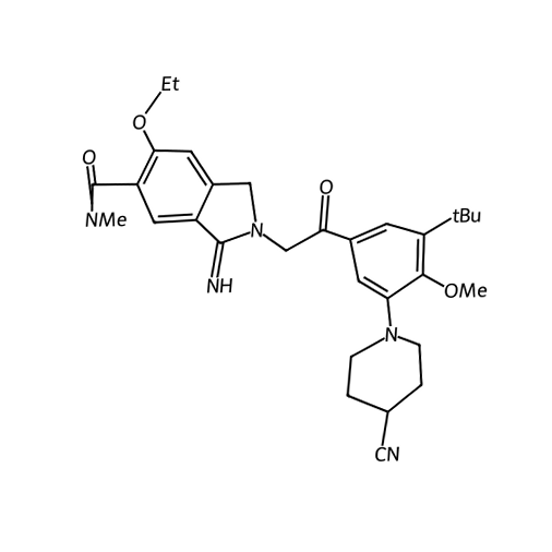 CCOc1cc2c(cc1C(=O)NC)C(=N)N(CC(=O)c1cc(N3CCC(C#N)CC3)c(OC)c(C(C)(C)C)c1)C2